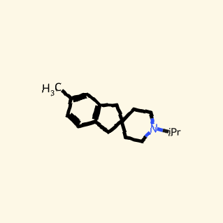 Cc1ccc2c(c1)CC1(CCN(C(C)C)CC1)C2